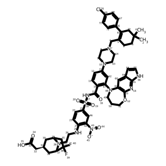 CC1(C)CCC(CN2CCN(c3ccc(C(=O)NS(=O)(=O)c4ccc(NCCN5C6C[C@H](CC(=O)O)CC5C(F)(F)C6)c([N+](=O)[O-])c4)c(N4CCCOc5nc6[nH]ccc6cc54)c3)CC2)=C(c2ccc(Cl)cc2)C1